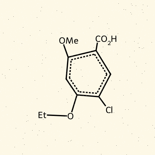 CCOc1cc(OC)c(C(=O)O)cc1Cl